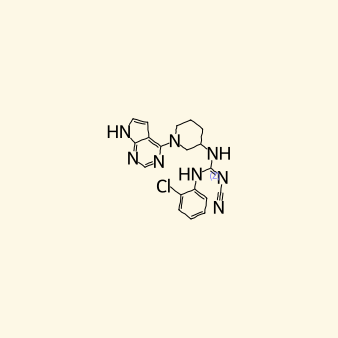 N#C/N=C(\Nc1ccccc1Cl)NC1CCCN(c2ncnc3[nH]ccc23)C1